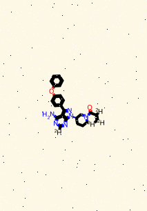 [2H]C([2H])=C([2H])C(=O)N1CCC[C@@H](n2nc(-c3ccc(Oc4ccccc4)cc3)c3c(N)nc([2H])nc32)C1